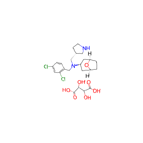 Clc1ccc(CN(C[C@@H]2CCNC2)[C@H]2C[C@H]3CC[C@@H](C2)O3)c(Cl)c1.O=C(O)C(O)C(O)C(=O)O